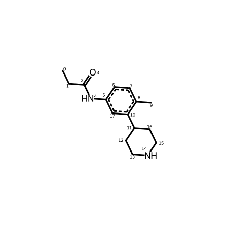 CCC(=O)Nc1ccc(C)c(C2CCNCC2)c1